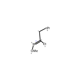 CCCC/C(CC)=N/OC